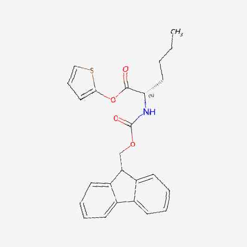 CCCC[C@H](NC(=O)OCC1c2ccccc2-c2ccccc21)C(=O)Oc1cccs1